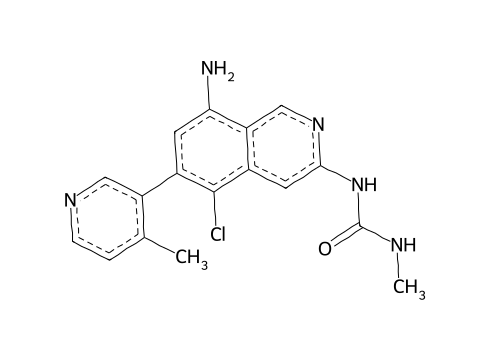 CNC(=O)Nc1cc2c(Cl)c(-c3cnccc3C)cc(N)c2cn1